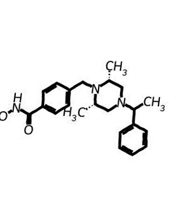 CC(c1ccccc1)N1C[C@@H](C)N(Cc2ccc(C(=O)NO)cc2)[C@@H](C)C1